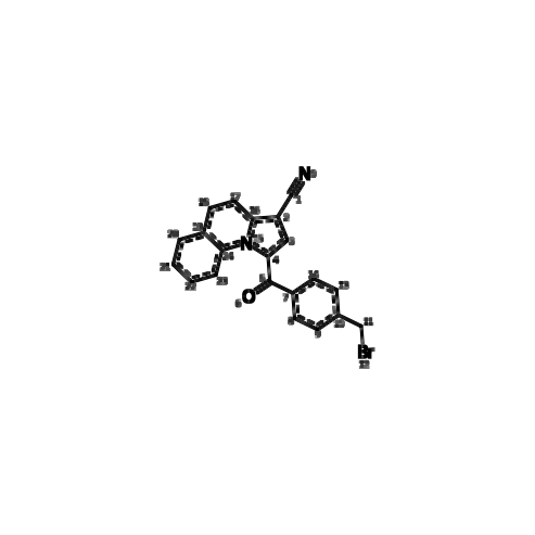 N#Cc1cc(C(=O)c2ccc(CBr)cc2)n2c1ccc1ccccc12